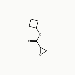 O=C(OC1CCC1)C1CO1